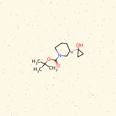 CC(C)(C)OC(=O)N1CCC[C@H](C2(O)CC2)C1